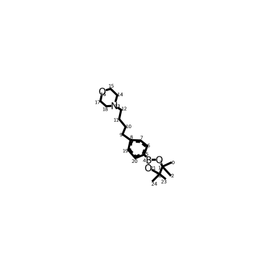 CC1(C)OB(c2ccc(CCCCN3CCOCC3)cc2)OC1(C)C